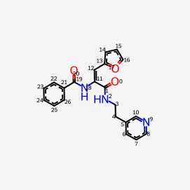 O=C(NCCc1cccnc1)/C(=C\c1ccco1)NC(=O)c1ccccc1